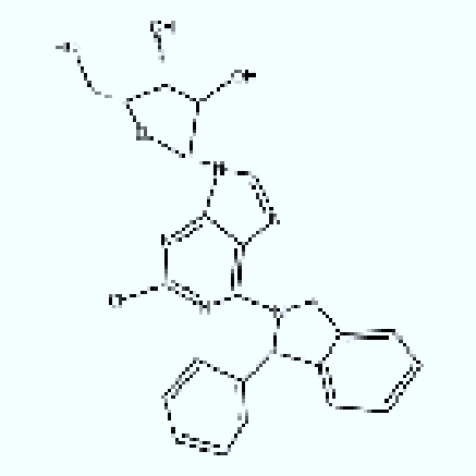 OC[C@H]1O[C@@H](n2cnc3c(N4Cc5ccccc5C4c4ccccc4)nc(Cl)nc32)C(O)[C@H]1O